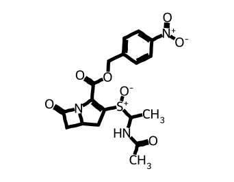 CC(=O)NC(C)[S+]([O-])C1=C(C(=O)OCc2ccc([N+](=O)[O-])cc2)N2C(=O)CC2C1